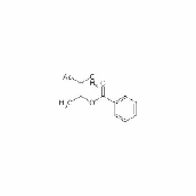 CC(=O)C(C)C(C)OC(=O)c1ccccc1